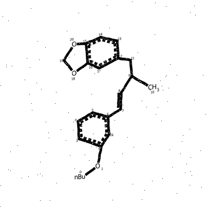 CCCCOc1cccc(C=CC(C)Cc2ccc3c(c2)OCO3)c1